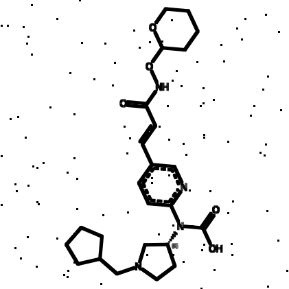 O=C(C=Cc1ccc(N(C(=O)O)[C@@H]2CCN(CC3CCCC3)C2)nc1)NOC1CCCCO1